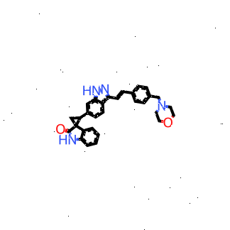 O=C1Nc2ccccc2C12CC2c1ccc2c(/C=C/c3ccc(CN4CCOCC4)cc3)n[nH]c2c1